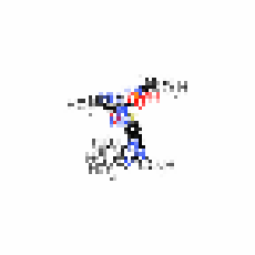 N[C@@H](CCC(=O)N(C(=S)Nc1ccc(CC(CN(CCN(CC(=O)O)CC(=O)O)CC(=O)O)N(CC(=O)O)CC(=O)O)cc1)[C@@H](COP(=O)(O)N[C@@H](CCC(=O)O)C(=O)O)C(=O)O)C(=O)O